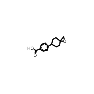 O=C(O)c1ccc(C2CCC3(CC2)CO3)cc1